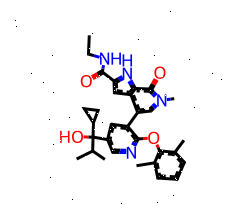 CCNC(=O)c1cc2c(-c3cc(C(O)(C(C)C)C4CC4)cnc3Oc3c(C)cccc3C)cn(C)c(=O)c2[nH]1